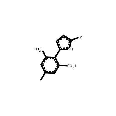 Cc1cc(C(=O)O)c(-c2ccc(Br)[nH]2)c(C(=O)O)c1